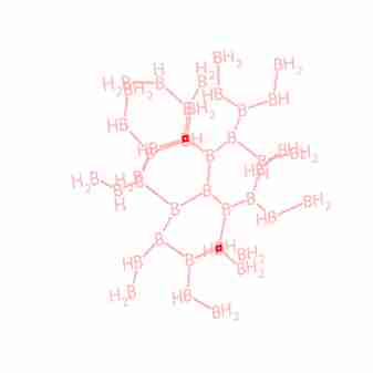 BBB(B)B(BB)B(B(BB)B(BB)BB)B(B(BB)B(BB)BB)B(B(BB)B(BB)BB)B(BB)B(BB)BB